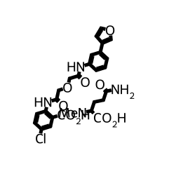 CNC(CCC(N)=O)C(=O)O.O=C(COCC(=O)Nc1ccc(Cl)cc1C(=O)O)Nc1cccc(-c2ccoc2)c1